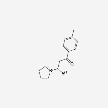 Cc1ccc(C(=O)CC(S)N2CCCC2)cc1